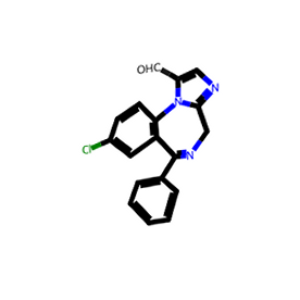 O=Cc1cnc2n1-c1ccc(Cl)cc1C(c1ccccc1)=NC2